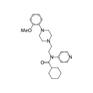 COc1ccccc1N1CCN(CCN(C(=O)C2CCCCC2)c2ccncc2)CC1